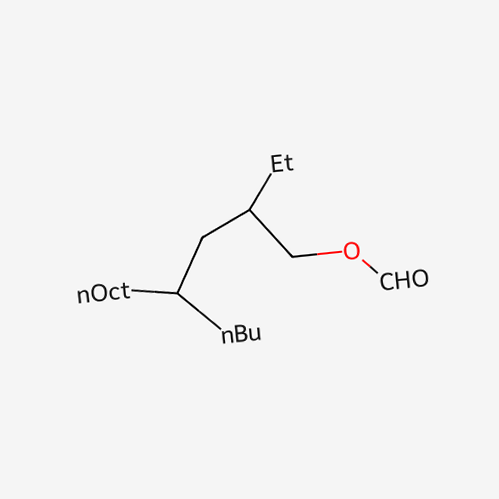 CCCCCCCCC(CCCC)CC(CC)COC=O